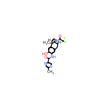 Cc1cnc(C(=O)Nc2cc3c(cc2O)[C@]2(C)CCN(C(=O)C(F)(F)F)[C@H](C3)[C@H]2C)cn1